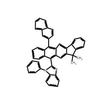 CC1(C)c2ccccc2-c2cc3c(-c4ccc5ccccc5c4)c4ccccc4c(-c4nc5ccccc5n4-c4ccccc4)c3cc21